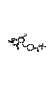 CC=C(OC(C)(C)C)N1CCC(Cc2cc(=O)oc3[nH]c(=O)[nH]c(=O)c23)CC1